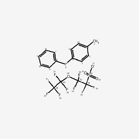 Cc1ccc([I+]c2ccccc2)cc1.O=S(=O)([O-])C(F)(F)C(F)(F)OC(F)(F)C(F)(F)I